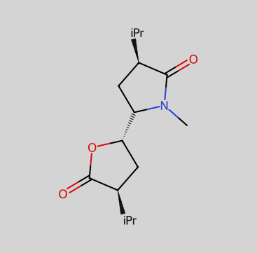 CC(C)[C@@H]1C[C@@H](C2C[C@@H](C(C)C)C(=O)N2C)OC1=O